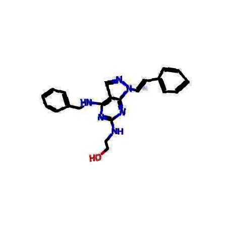 OCCNc1nc(NCc2ccccc2)c2cnn(/C=C/c3ccccc3)c2n1